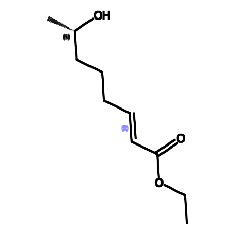 CCOC(=O)/C=C/CCC[C@H](C)O